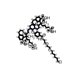 CC1(CCCCS(=O)(=O)O)C(/C=C/C2=C(Oc3ccc(C(=O)NCCOCCOCCCCCCCl)cc3)C(=C/C=C3\N4CCCc5ccc(S(=O)(=O)O)c(c54)C3(C)CCCCS(=O)(=O)O)/CCC2)=[N+]2CCCc3ccc(S(=O)(=O)O)c1c32